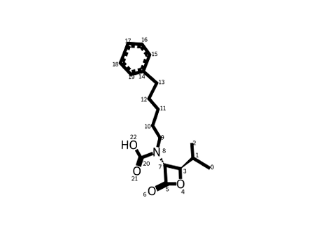 CC(C)[C@H]1OC(=O)[C@@H]1N(CCCCCc1ccccc1)C(=O)O